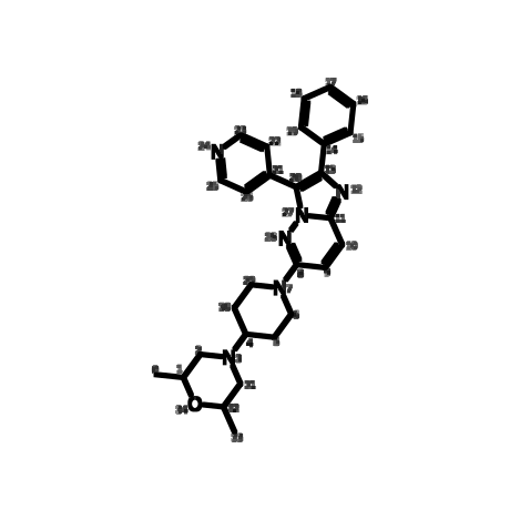 CC1CN(C2CCN(c3ccc4nc(-c5ccccc5)c(-c5ccncc5)n4n3)CC2)CC(C)O1